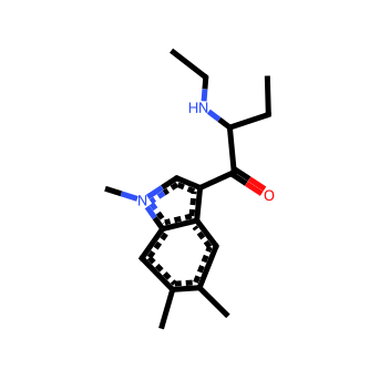 CCNC(CC)C(=O)c1cn(C)c2cc(C)c(C)cc12